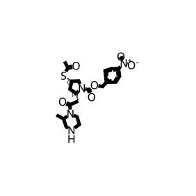 CC(=O)S[C@H]1C[C@@H](CC(=O)N2CCNCC2C)N(C(=O)OCc2ccc([N+](=O)[O-])cc2)C1